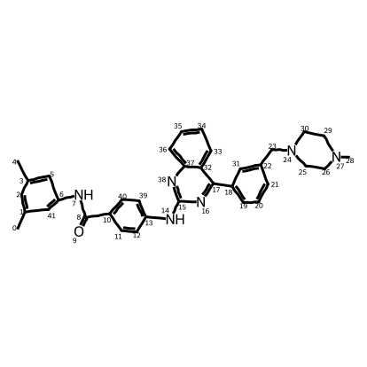 Cc1cc(C)cc(NC(=O)c2ccc(Nc3nc(-c4cccc(CN5CCN(C)CC5)c4)c4ccccc4n3)cc2)c1